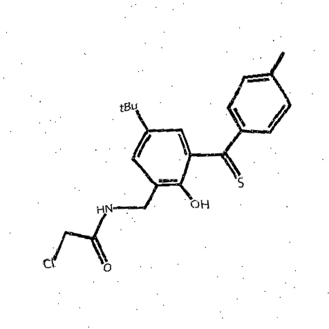 Cc1ccc(C(=S)c2cc(C(C)(C)C)cc(CNC(=O)CCl)c2O)cc1